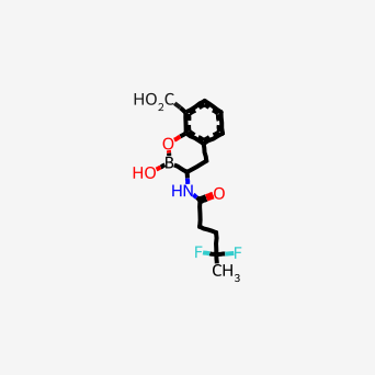 CC(F)(F)CCC(=O)NC1Cc2cccc(C(=O)O)c2OB1O